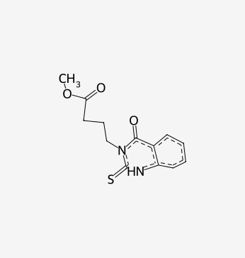 COC(=O)CCCn1c(=S)[nH]c2ccccc2c1=O